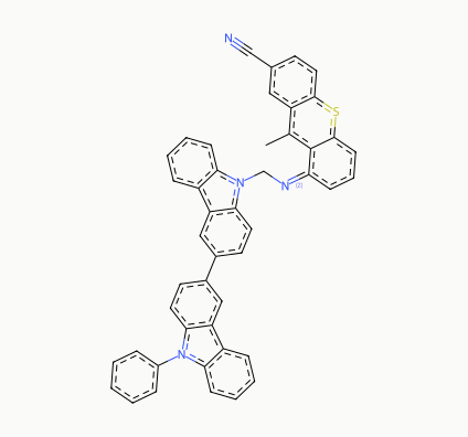 Cc1c2/c(=N\Cn3c4ccccc4c4cc(-c5ccc6c(c5)c5ccccc5n6-c5ccccc5)ccc43)cccc-2sc2ccc(C#N)cc12